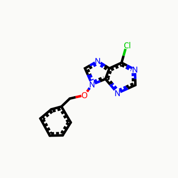 Clc1ncnc2c1ncn2OCc1ccccc1